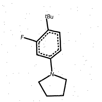 CC(C)(C)c1ccc(N2CCCC2)cc1F